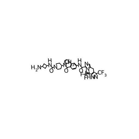 CN(C(=O)c1ccc(NC(=O)c2ncc(Cc3c(C(F)(F)F)n[nH]c3[C@@H]3CC3(F)F)[nH]2)cc1Cl)C1CCN(C(=O)NC2CC(N)C2)CC1